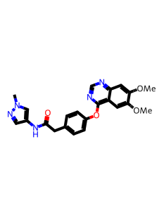 COc1cc2ncnc(Oc3ccc(CC(=O)Nc4cnn(C)c4)cc3)c2cc1OC